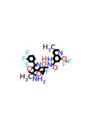 Cc1cnc2c(OC(F)F)cc(C(=O)NC[C@](O)(c3cc4c(c(-c5ccc(F)c(F)c5F)n3)OC[C@]4(C)C(N)=O)C3(F)CC3)cc2c1